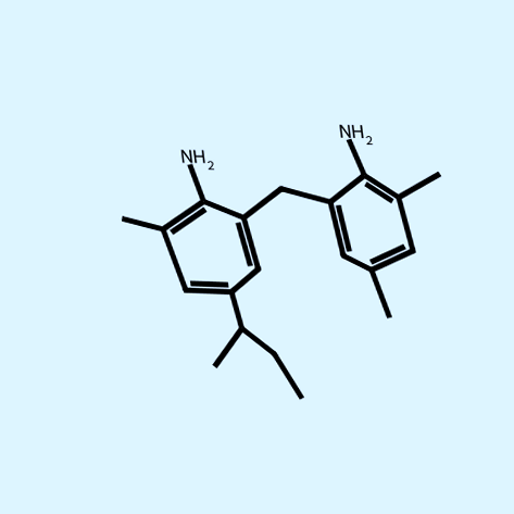 CCC(C)c1cc(C)c(N)c(Cc2cc(C)cc(C)c2N)c1